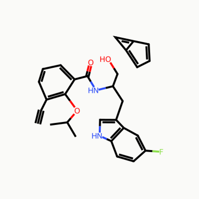 C#Cc1cccc(C(=O)NC(CO)Cc2c[nH]c3ccc(F)cc23)c1OC(C)C.c1cc2cc-2c1